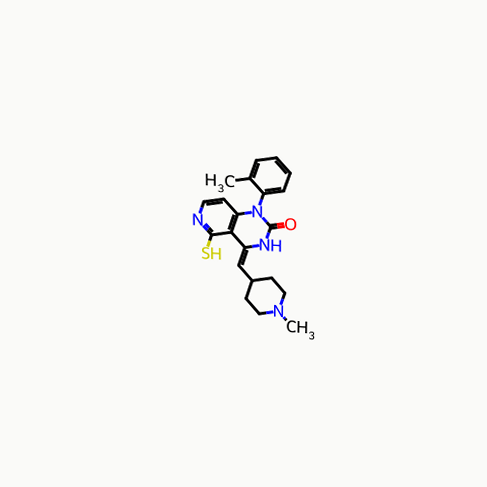 Cc1ccccc1N1C(=O)N/C(=C\C2CCN(C)CC2)c2c1ccnc2S